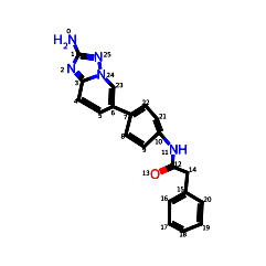 Nc1nc2ccc(-c3ccc(NC(=O)Cc4ccccc4)cc3)cn2n1